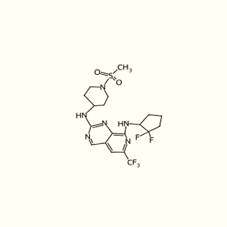 CS(=O)(=O)N1CCC(Nc2ncc3cc(C(F)(F)F)nc(NC4CCCC4(F)F)c3n2)CC1